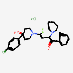 Cl.O=C(c1ccccc1)C(CC(F)N1CCC(O)(c2ccc(Cl)cc2)CC1)N1CCCCC1